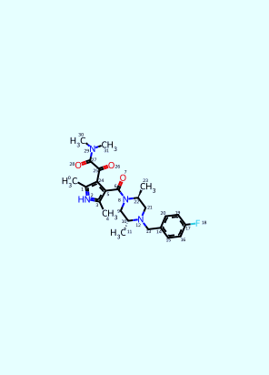 Cc1[nH]c(C)c(C(=O)N2C[C@@H](C)N(Cc3ccc(F)cc3)C[C@@H]2C)c1C(=O)C(=O)N(C)C